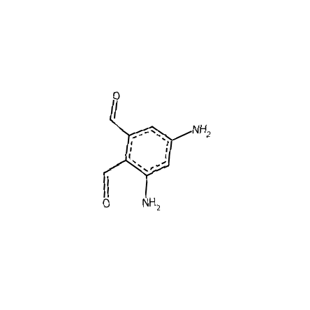 Nc1cc(N)c(C=O)c(C=O)c1